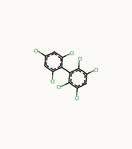 Clc1cc(Cl)c(-c2c(Cl)c(Cl)cc(Cl)c2Cl)c(Cl)c1